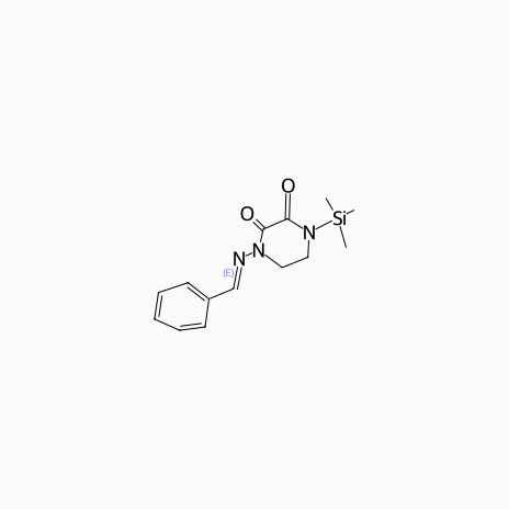 C[Si](C)(C)N1CCN(/N=C/c2ccccc2)C(=O)C1=O